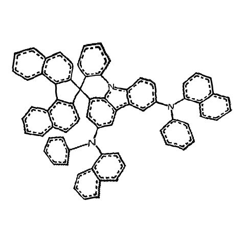 c1ccc(N(c2ccc3c(c2)c2cc(N(c4ccccc4)c4cccc5ccccc45)cc4c2n3-c2ccccc2C42c3ccc4ccccc4c3-c3c2ccc2ccccc32)c2cccc3ccccc23)cc1